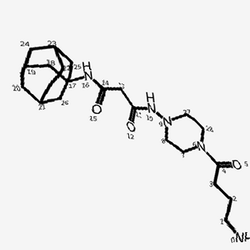 NCCCC(=O)N1CCN(NC(=O)CC(=O)NC23CC4CC(CC(C4)C2)C3)CC1